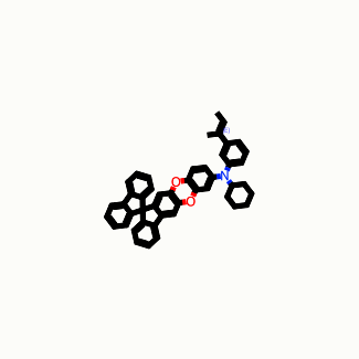 C/C=C(\C)c1cccc(N(c2ccc3c(c2)Oc2cc4c(cc2O3)C2(c3ccccc3-c3ccccc32)c2ccccc2-4)C2CCCCC2)c1